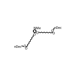 CCCCCCCCCCCCOC(=O)CCCCCCCCCCOc1ccc(NC)cc1OCCCCCCCCCCC(=O)OCCCCCCCCCCCC